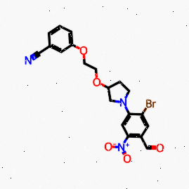 N#Cc1cccc(OCCOC2CCN(c3cc([N+](=O)[O-])c(C=O)cc3Br)C2)c1